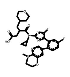 CN1CCOc2cc(-c3ccc(F)cc3-c3nc(N(C(=O)C(CC(=O)O)CC4CCOCC4)C4CC4)sc3F)cnc21